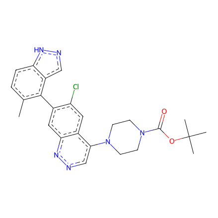 Cc1ccc2[nH]ncc2c1-c1cc2nncc(N3CCN(C(=O)OC(C)(C)C)CC3)c2cc1Cl